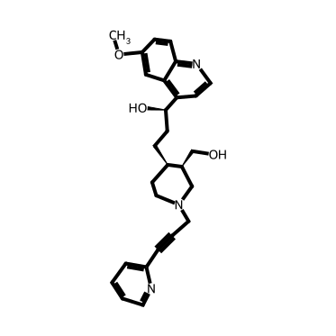 COc1ccc2nccc([C@H](O)CC[C@@H]3CCN(CC#Cc4ccccn4)C[C@@H]3CO)c2c1